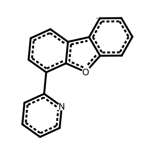 [c]1cccc2oc3c(-c4ccccn4)cccc3c12